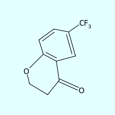 O=C1CCOc2ccc(C(F)(F)F)cc21